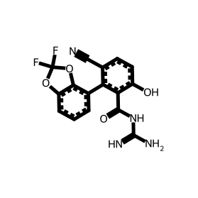 N#Cc1ccc(O)c(C(=O)NC(=N)N)c1-c1cccc2c1OC(F)(F)O2